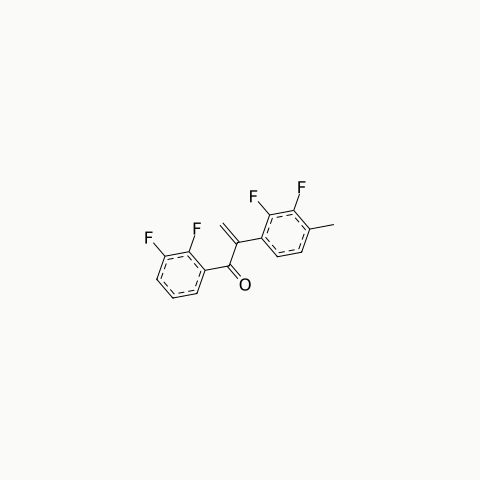 C=C(C(=O)c1cccc(F)c1F)c1ccc(C)c(F)c1F